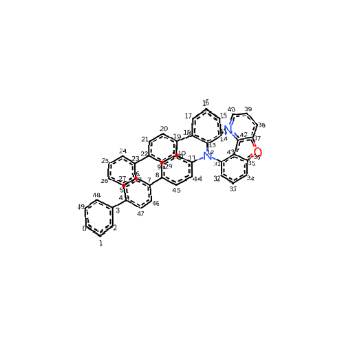 c1ccc(-c2ccc(-c3ccc(N(c4ccccc4-c4ccc(-c5ccccc5)cc4)c4cccc5oc6cccnc6c45)cc3)cc2)cc1